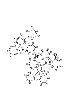 CC1(c2ccccc2)c2cc(N(c3ccc4c(c3)C(c3ccccc3)(c3ccccc3)c3ccccc3-4)c3ccc4oc5ccccc5c4c3)ccc2-c2c(-c3ccccc3)cccc21